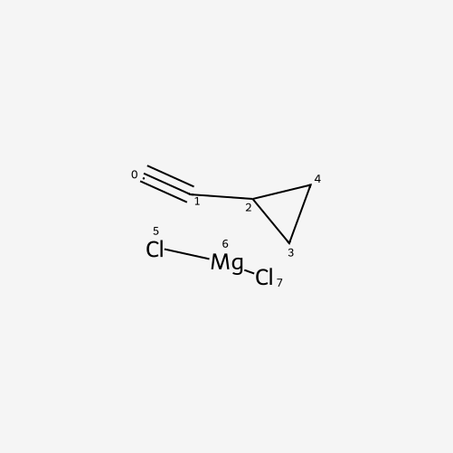 [C]#CC1CC1.[Cl][Mg][Cl]